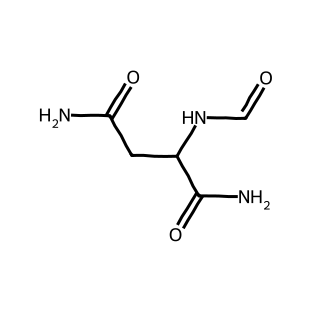 NC(=O)CC(NC=O)C(N)=O